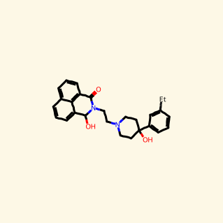 CCc1cccc(C2(O)CCN(CCN3C(=O)c4cccc5cccc(c45)C3O)CC2)c1